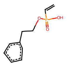 C=CP(=O)(O)OCCc1ccccc1